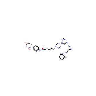 Cc1nc(Nc2ncc(C(=O)Nc3c(C)cccc3Cl)s2)cc(N2CCN(CCCCCC(=O)Nc3ccc(N4CCC(=O)NC4=O)cc3)CC2)n1